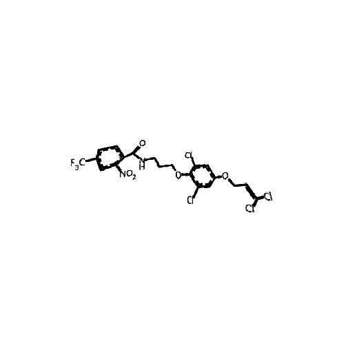 O=C(NCCCOc1c(Cl)cc(OCC=C(Cl)Cl)cc1Cl)c1ccc(C(F)(F)F)cc1[N+](=O)[O-]